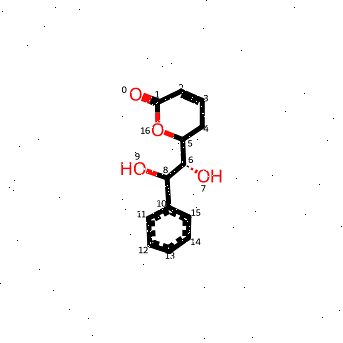 O=C1C=CCC([C@H](O)C(O)c2ccccc2)O1